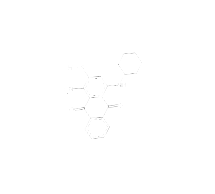 Nc1c(S(=O)(=O)O)cc(NC2CCCCC2)c2c1C(=O)c1ccccc1C2=O